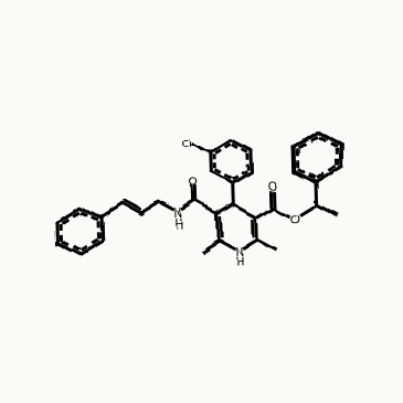 CC1=C(C(=O)NCC=Cc2ccccc2)C(c2cccc(Cl)c2)C(C(=O)OC(C)c2ccccc2)=C(C)N1